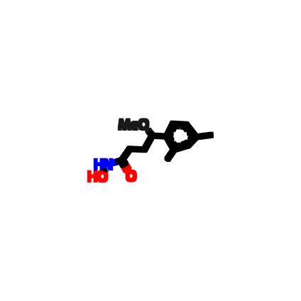 COC(CCC(=O)NO)c1ccc(C)cc1C